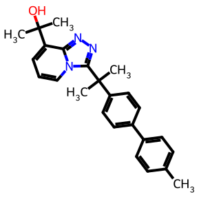 Cc1ccc(-c2ccc(C(C)(C)c3nnc4c(C(C)(C)O)cccn34)cc2)cc1